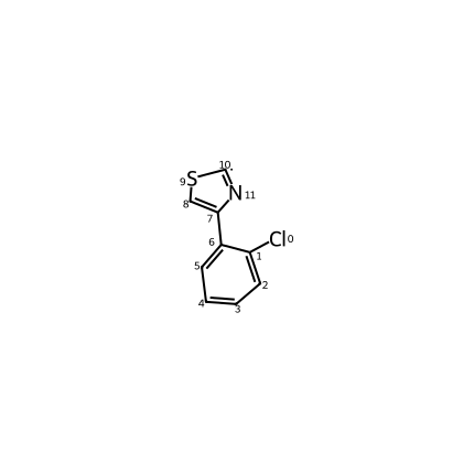 Clc1ccccc1-c1cs[c]n1